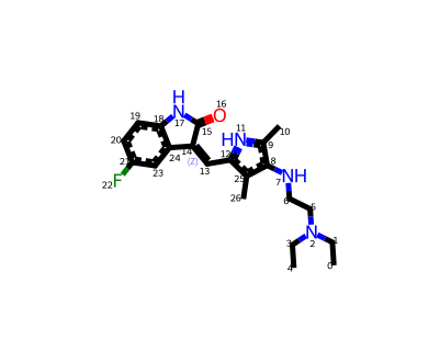 CCN(CC)CCNc1c(C)[nH]c(/C=C2\C(=O)Nc3ccc(F)cc32)c1C